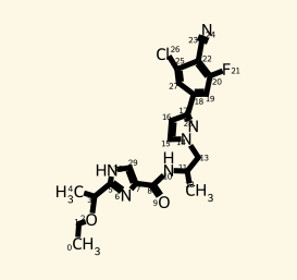 CCOC(C)c1nc(C(=O)NC(C)Cn2ccc(-c3cc(F)c(C#N)c(Cl)c3)n2)c[nH]1